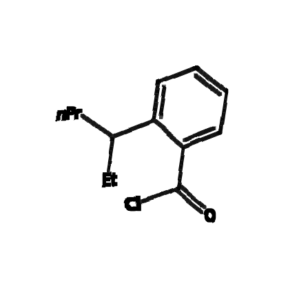 CCCC(CC)c1ccccc1C(=O)Cl